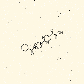 O=C(NO)c1cnc(N2CC3CC2CN3C(=O)C2CCCCC2)nc1